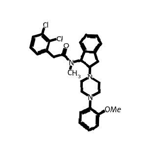 COc1ccccc1N1CCN(C2Cc3ccccc3C2N(C)C(=O)Cc2cccc(Cl)c2Cl)CC1